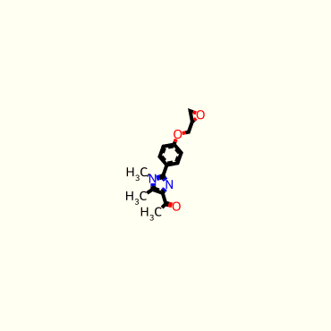 CC(=O)c1nc(-c2ccc(OCC3CO3)cc2)n(C)c1C